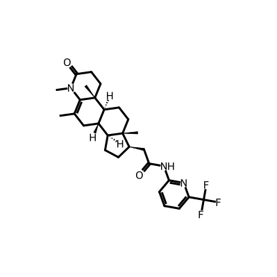 CC1=C2N(C)C(=O)CC[C@]2(C)[C@H]2CC[C@]3(C)[C@@H](CC(=O)Nc4cccc(C(F)(F)F)n4)CC[C@H]3[C@@H]2C1